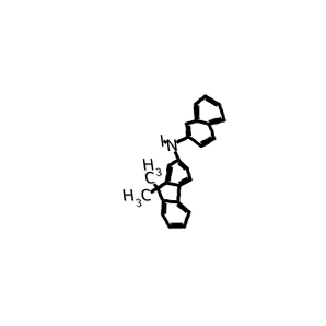 CC1(C)c2ccccc2-c2ccc(N(I)c3ccc4ccccc4c3)cc21